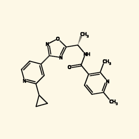 Cc1ccc(C(=O)N[C@@H](C)c2nc(-c3ccnc(C4CC4)c3)no2)c(C)n1